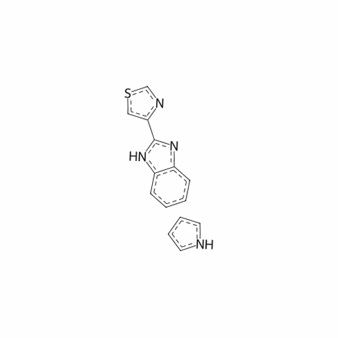 c1cc[nH]c1.c1ccc2[nH]c(-c3cscn3)nc2c1